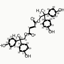 CC(COC(=O)/C=C/C(=O)OCC(C)(c1ccc(O)cc1)c1ccc(O)cc1)(c1ccc(O)cc1)c1ccc(O)cc1